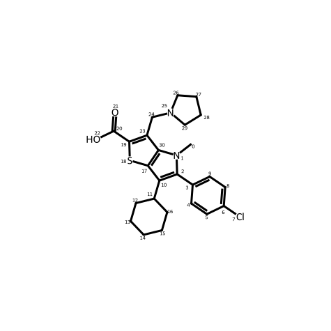 Cn1c(-c2ccc(Cl)cc2)c(C2CCCCC2)c2sc(C(=O)O)c(CN3CCCC3)c21